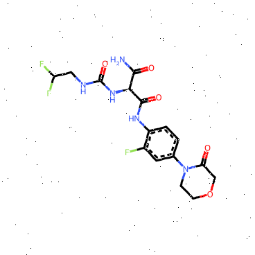 NC(=O)[C@H](NC(=O)NCC(F)F)C(=O)Nc1ccc(N2CCOCC2=O)cc1F